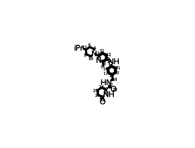 Cc1nc(N2CCC(C(C)C)CC2)ccc1Nc1ccc(CNC(=O)[C@@H]2CCCC(=O)N2)cc1